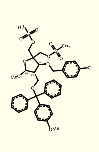 COc1ccc(C(OC[C@H]2[C@@H](OC)OC(COS(C)(=O)=O)(COS(C)(=O)=O)[C@H]2OCc2ccc(Cl)cc2)(c2ccccc2)c2ccccc2)cc1